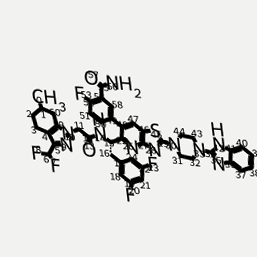 CC1CCc2c(C(F)F)nn(CC(=O)N[C@@H](Cc3cc(F)cc(F)c3)c3nc4nc(N5CCN(c6nc7ccccc7[nH]6)CC5)sc4cc3-c3ccc(F)c(C(N)=O)c3)c2C1